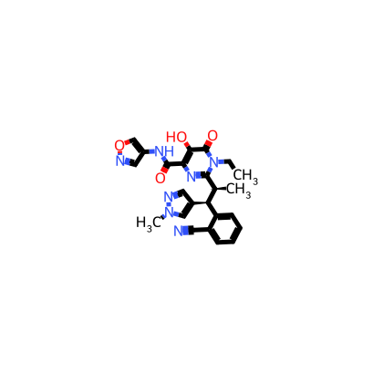 CCn1c([C@@H](C)[C@H](c2cnn(C)c2)c2ccccc2C#N)nc(C(=O)Nc2cnoc2)c(O)c1=O